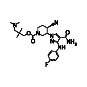 CN(C)CC(C)(C)COC(=O)N1CC[C@@H](C#N)C(n2cc(C(N)=O)c(Nc3ccc(F)cc3)n2)C1